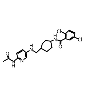 CC(=O)Nc1ccc(NCC2CCC(NC(=O)c3cc(Cl)ccc3Cl)CC2)cn1